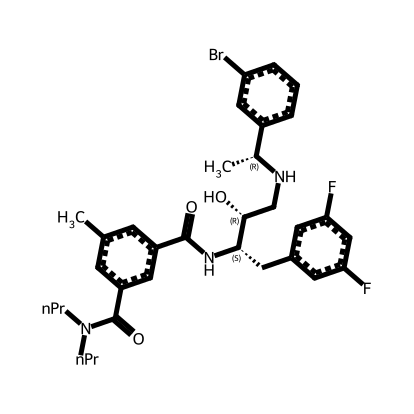 CCCN(CCC)C(=O)c1cc(C)cc(C(=O)N[C@@H](Cc2cc(F)cc(F)c2)[C@H](O)CN[C@H](C)c2cccc(Br)c2)c1